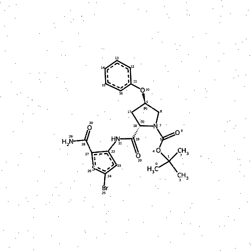 CC(C)(C)OC(=O)N1C[C@H](Oc2ccccc2)C[C@H]1C(=O)Nc1cc(Br)sc1C(N)=O